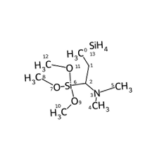 CCC(N(C)C)[Si](OC)(OC)OC.[SiH4]